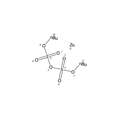 CCCCOS(=O)(=O)OS(=O)(=O)OCCCC.[Zn]